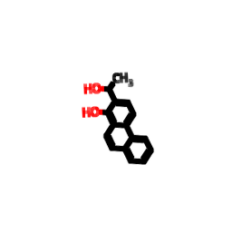 CC(O)c1ccc2c(ccc3ccccc32)c1O